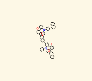 c1ccc(N(c2ccc(-c3cccc4ccccc34)cc2)c2cccc3oc4ccc5c6cc7ccc(-c8cc(N(c9ccccc9)c9ccccc9)c9c(c8)oc8ccc%10c%11cc%12ccccc%12cc%11oc%10c89)cc7cc6oc5c4c23)cc1